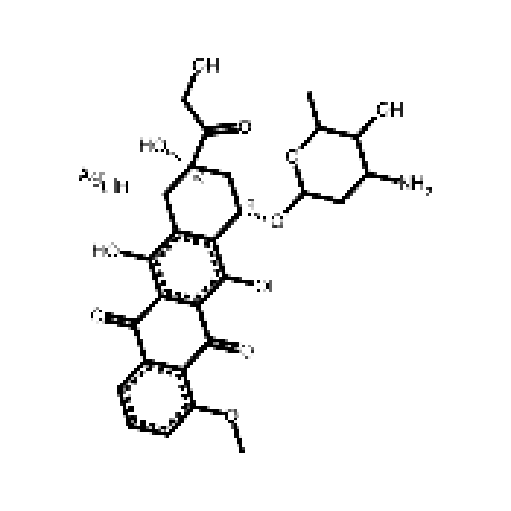 COc1cccc2c1C(=O)c1c(O)c3c(c(O)c1C2=O)C[C@@](O)(C(=O)CO)C[C@@H]3OC1CC(N)C(O)C(C)O1.Cl.[Ag]